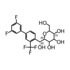 OCC1O[C@H]([C@H](O)c2ccc(-c3cc(F)cc(F)c3)cc2C(F)(F)F)C(O)C(O)[C@@H]1O